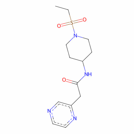 CCS(=O)(=O)N1CCC(NC(=O)Cc2cnccn2)CC1